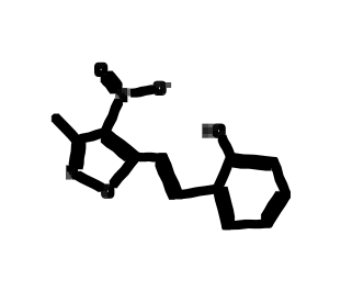 Cc1noc(C=Cc2ccccc2O)c1[N+](=O)[O-]